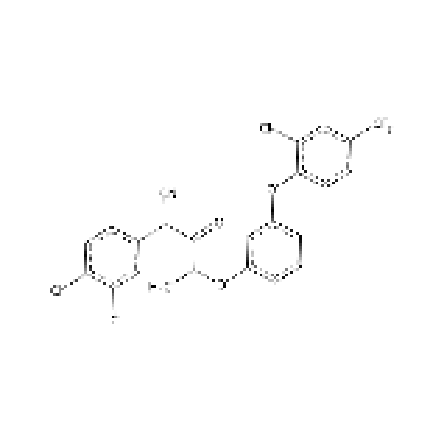 CC(Oc1cccc(Oc2ccc(C(F)(F)F)cc2Cl)c1)C(=O)C(C#N)c1ccc(Cl)c(Cl)c1